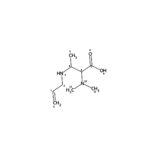 C=CCNC(C)C(C(=O)O)N(C)C